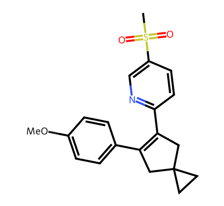 COc1ccc(C2=C(c3ccc(S(C)(=O)=O)cn3)CC3(CC3)C2)cc1